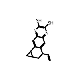 C=CC1CC2CC2c2cc3nc(S)c(S)nc3cc21